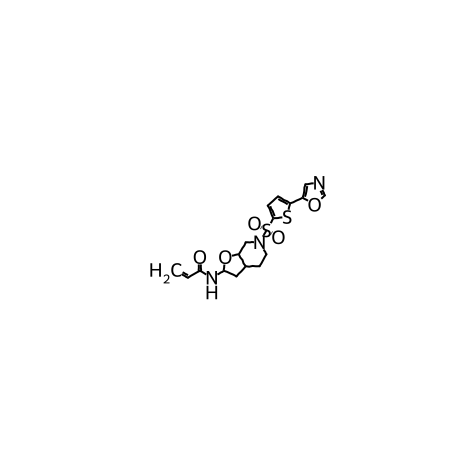 C=CC(=O)NC1CC2CCN(S(=O)(=O)c3ccc(-c4cnco4)s3)CC2O1